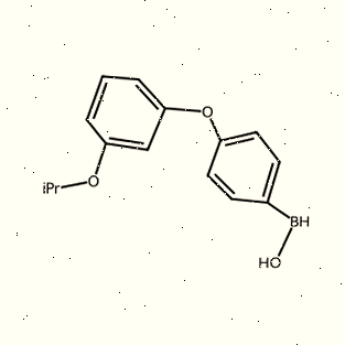 CC(C)Oc1cccc(Oc2ccc(BO)cc2)c1